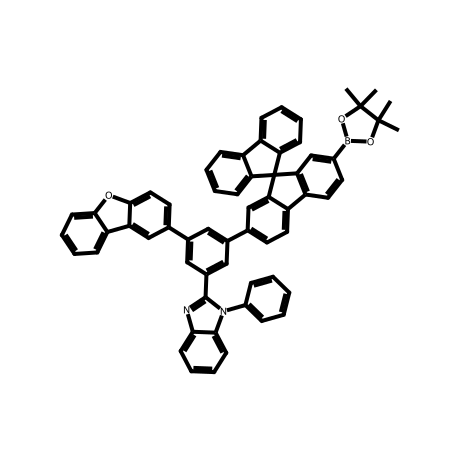 CC1(C)OB(c2ccc3c(c2)C2(c4ccccc4-c4ccccc42)c2cc(-c4cc(-c5ccc6oc7ccccc7c6c5)cc(-c5nc6ccccc6n5-c5ccccc5)c4)ccc2-3)OC1(C)C